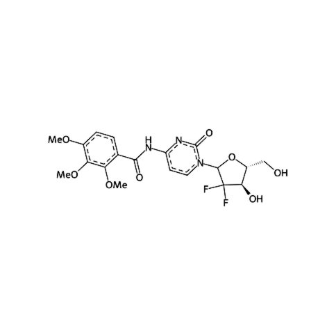 COc1ccc(C(=O)Nc2ccn(C3O[C@H](CO)[C@@H](O)C3(F)F)c(=O)n2)c(OC)c1OC